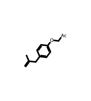 C=C(C)Cc1ccc(OCC(C)=O)cc1